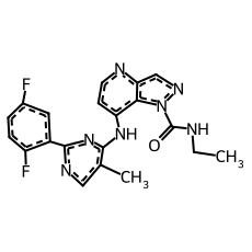 CCNC(=O)n1ncc2nccc(Nc3nc(-c4cc(F)ccc4F)ncc3C)c21